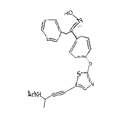 CC(=O)NC(C)C#Cc1cnc(Oc2ccc(/C(=N/O)c3ccccc3)cc2)s1